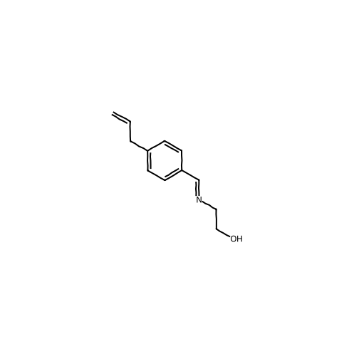 C=CCc1ccc(C=NCCO)cc1